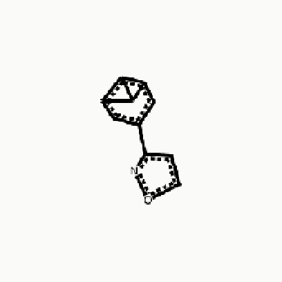 c1cc(-c2cc3c4c(c2)C34)no1